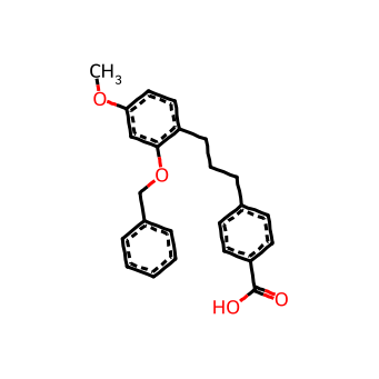 COc1ccc(CCCc2ccc(C(=O)O)cc2)c(OCc2ccccc2)c1